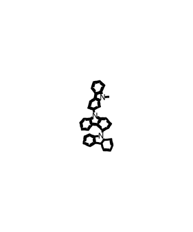 Cn1c2ccccc2c2ccc(-n3c4ccccc4c4c(N5c6ccccc6C6C=CC=CC65)cccc43)cc21